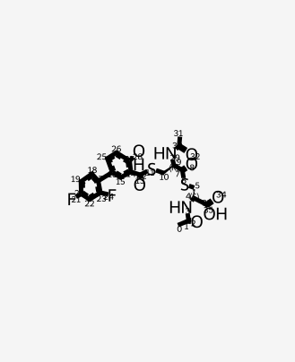 CC(=O)N[C@H](CSC(=O)[C@@H](CSC(=O)c1cc(-c2ccc(F)cc2F)ccc1O)NC(C)=O)C(=O)O